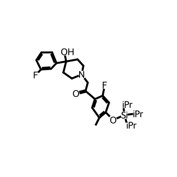 Cc1cc(C(=O)CN2CCC(O)(c3cccc(F)c3)CC2)c(F)cc1O[Si](C(C)C)(C(C)C)C(C)C